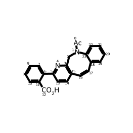 CC(=O)N1Cc2nc(-c3ccccc3C(=O)O)ccc2C=Cc2ccccc21